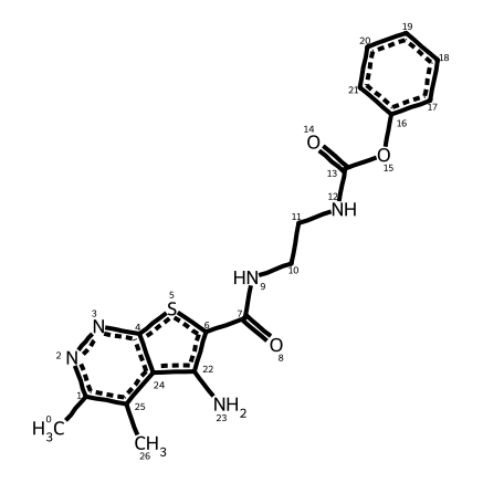 Cc1nnc2sc(C(=O)NCCNC(=O)Oc3ccccc3)c(N)c2c1C